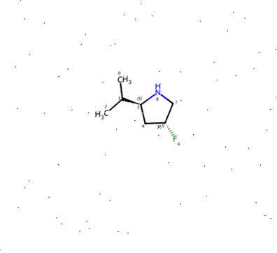 CC(C)[C@@H]1C[C@@H](F)CN1